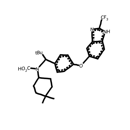 CC1(C)CCC(N(C(=O)O)C(c2ccc(Oc3ccc4[nH]c(C(F)(F)F)nc4c3)cc2)C(C)(C)C)CC1